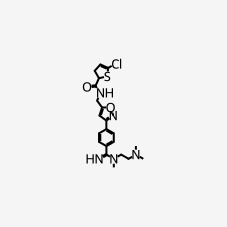 CN(C)CCN(C)C(=N)c1ccc(-c2cc(CNC(=O)C3CC=C(Cl)S3)on2)cc1